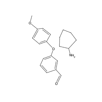 COc1ccc(Oc2cccc(C=O)c2)cc1.NC1CCCCC1